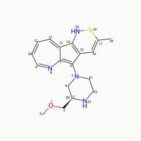 COC[C@H]1CN(c2c3nccccc-3c3c2C=C(C)SN3)CCN1